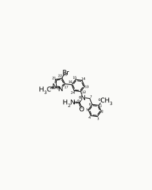 Cc1ccccc1CN(C(N)=O)c1cccc(-c2nn(C)cc2Br)c1